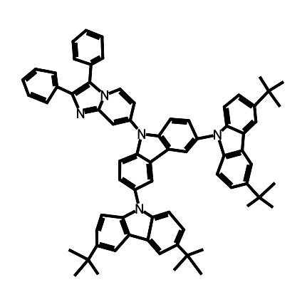 CC(C)(C)c1ccc2c(c1)c1cc(C(C)(C)C)ccc1n2-c1ccc2c(c1)c1cc(-n3c4ccc(C(C)(C)C)cc4c4cc(C(C)(C)C)ccc43)ccc1n2-c1ccn2c(-c3ccccc3)c(-c3ccccc3)nc2c1